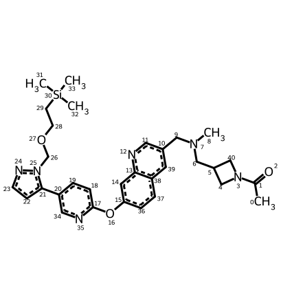 CC(=O)N1CC(CN(C)Cc2cnc3cc(Oc4ccc(-c5ccnn5COCC[Si](C)(C)C)cn4)ccc3c2)C1